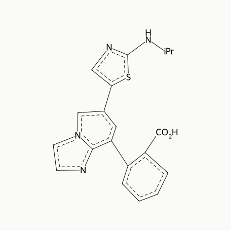 CC(C)Nc1ncc(-c2cc(-c3ccccc3C(=O)O)c3nccn3c2)s1